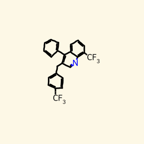 FC(F)(F)c1ccc(Cc2cnc3c(C(F)(F)F)cccc3c2-c2ccccc2)cc1